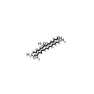 CCCCCCCCCCCCCCCC.CCCCCCCCCCCCCCCC.O